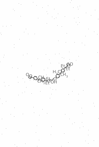 CCC(CC)(OCC(O)COc1ccc(C(C)(C)c2ccc(C(CC)(CC)C3=CCC(=O)O3)cc2)cc1)c1ccc(C(C)(C)c2ccc(C3=CCC(=O)O3)cc2)cc1